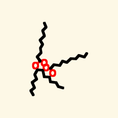 CCCCCCCCCC(=O)OC(CCCCCC)C(CCCCCC)OC(=O)CCCCCCCCC